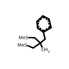 CSCC(C)(CSC)Cc1ccccc1